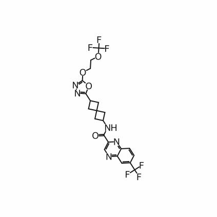 O=C(NC1CC2(C1)CC(c1nnc(OCCOC(F)(F)F)o1)C2)c1cnc2cc(C(F)(F)F)ccc2n1